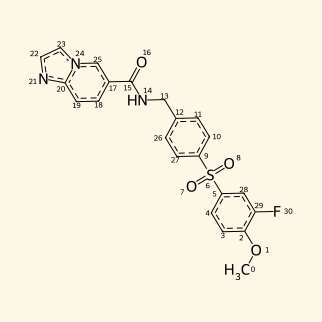 COc1ccc(S(=O)(=O)c2ccc(CNC(=O)c3ccc4nccn4c3)cc2)cc1F